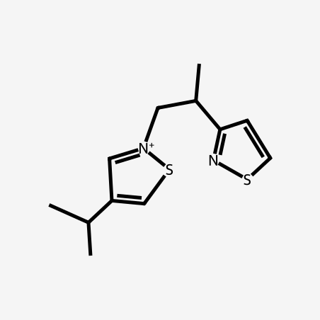 CC(C)c1cs[n+](CC(C)c2ccsn2)c1